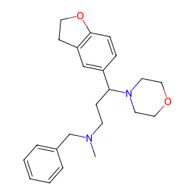 CN(CCC(c1ccc2c(c1)CCO2)N1CCOCC1)Cc1ccccc1